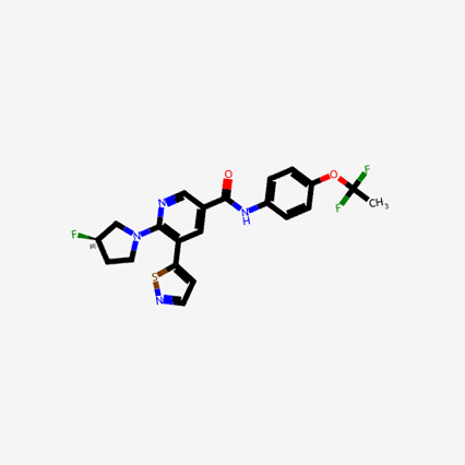 CC(F)(F)Oc1ccc(NC(=O)c2cnc(N3CC[C@@H](F)C3)c(-c3ccns3)c2)cc1